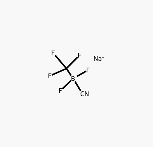 N#C[B-](F)(F)C(F)(F)F.[Na+]